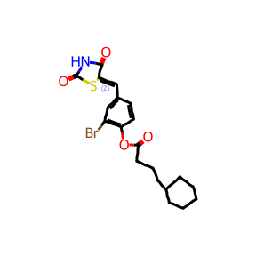 O=C(CCCC1CCCCC1)Oc1ccc(/C=C2\SC(=O)NC2=O)cc1Br